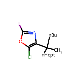 CCCCCCCC(C)(CCCC)c1nc(I)oc1Cl